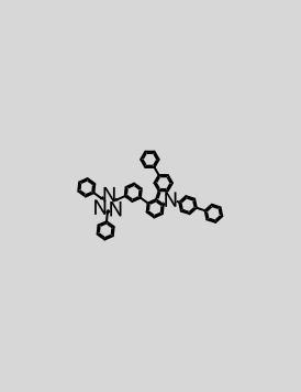 c1ccc(-c2ccc(-n3c4ccc(-c5ccccc5)cc4c4c(-c5cccc(-c6nc(-c7ccccc7)nc(-c7ccccc7)n6)c5)cccc43)cc2)cc1